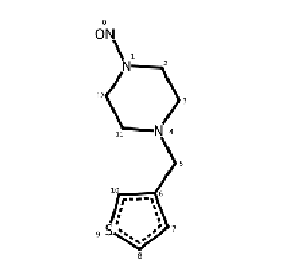 O=NN1CCN(Cc2ccsc2)CC1